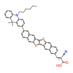 CCCCCCN1c2ccccc2C(C)(C)c2cc(-c3ccc4cc5sc6c7cc8cc(/C=C(\C#N)C(=O)O)ccc8cc7sc6c5cc4c3)ccc21